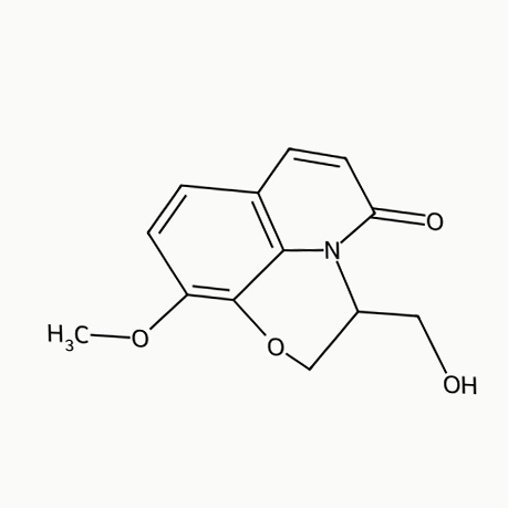 COc1ccc2ccc(=O)n3c2c1OCC3CO